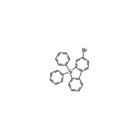 Brc1ccc2c(c1)[Si](c1ccccc1)(c1ccccc1)c1ccccc1-2